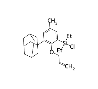 C=CCOc1c(C23CC4CC(CC(C4)C2)C3)cc(C)cc1[Si](Cl)(CC)CC